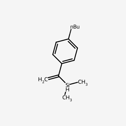 C=C(c1ccc(CCCC)cc1)[SiH](C)C